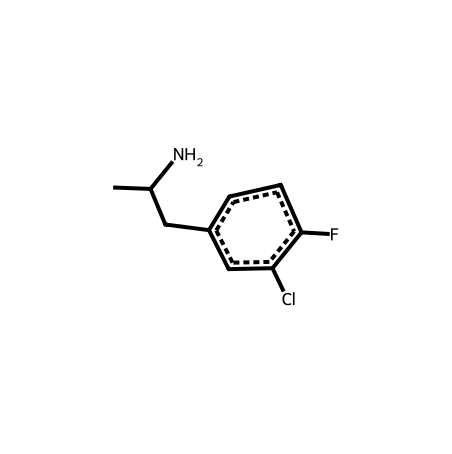 CC(N)Cc1ccc(F)c(Cl)c1